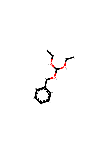 CCOC(OCC)OCc1ccccc1